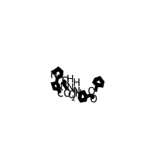 O=C(NCC(=O)N1C(C(=O)O)CCC1c1ccccn1)Nc1cccc(C(=O)OCc2ccccc2)c1